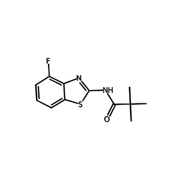 CC(C)(C)C(=O)Nc1nc2c(F)cccc2s1